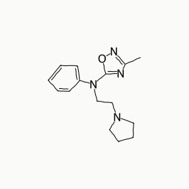 Cc1noc(N(CCN2CCCC2)c2ccccc2)n1